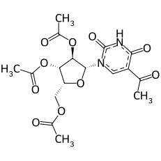 CC(=O)OC[C@H]1O[C@@H](n2cc(C(C)=O)c(=O)[nH]c2=O)[C@H](OC(C)=O)[C@H]1OC(C)=O